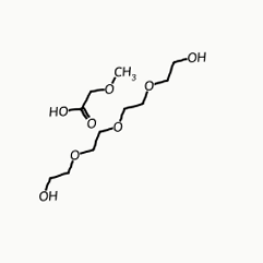 COCC(=O)O.OCCOCCOCCOCCO